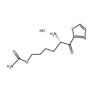 Cl.NC(=O)OCCCC[C@H](N)C(=O)c1nccs1